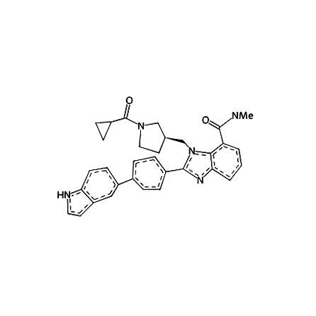 CNC(=O)c1cccc2nc(-c3ccc(-c4ccc5[nH]ccc5c4)cc3)n(C[C@H]3CCN(C(=O)C4CC4)C3)c12